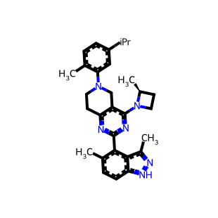 Cc1ccc(C(C)C)cc1N1CCc2nc(-c3c(C)ccc4[nH]nc(C)c34)nc(N3CC[C@@H]3C)c2C1